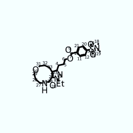 CCn1nc(CCCOC(=O)c2ccc(S(=O)(=O)N(C)C)cc2)c2c1C(=O)NCCCOCCC2